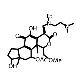 CCN(/C=C1\C(=O)OC(COC)C2(C)C1=C(O)C(=O)C1=C2C(OC(C)=O)CC2(C)C(O)CCC12)CCN(C)C